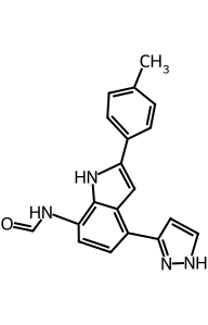 Cc1ccc(-c2cc3c(-c4cc[nH]n4)ccc(NC=O)c3[nH]2)cc1